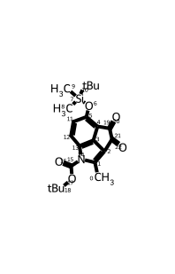 Cc1c2c3c(c(O[Si](C)(C)C(C)(C)C)ccc3n1C(=O)OC(C)(C)C)C(=O)C2=O